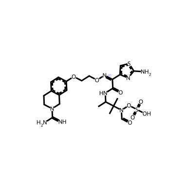 CC(NC(=O)/C(=N\OCCOc1ccc2c(c1)CN(C(=N)N)CC2)c1csc(N)n1)C(C)(C)N(C=O)OS(=O)(=O)O